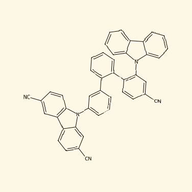 N#Cc1ccc(-c2ccccc2-c2cccc(-n3c4ccc(C#N)cc4c4ccc(C#N)cc43)c2)c(-n2c3ccccc3c3ccccc32)c1